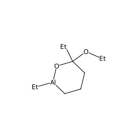 CCOC1(CC)CC[CH2][Al]([CH2]C)[O]1